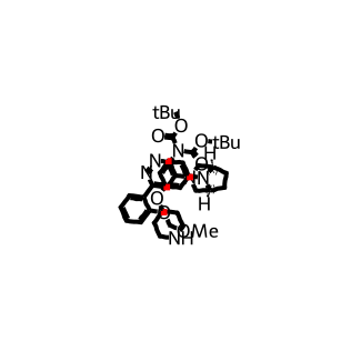 COCOc1ccccc1-c1cc(N2C[C@H]3CC[C@@H](C2)N3c2cccc(OC3CCNCC3)c2)c(N(C(=O)OC(C)(C)C)C(=O)OC(C)(C)C)nn1